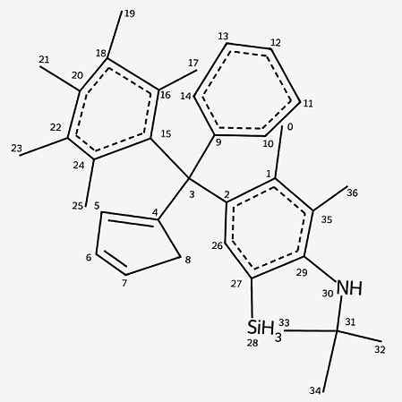 Cc1c(C(C2=CC=CC2)(c2ccccc2)c2c(C)c(C)c(C)c(C)c2C)cc([SiH3])c(NC(C)(C)C)c1C